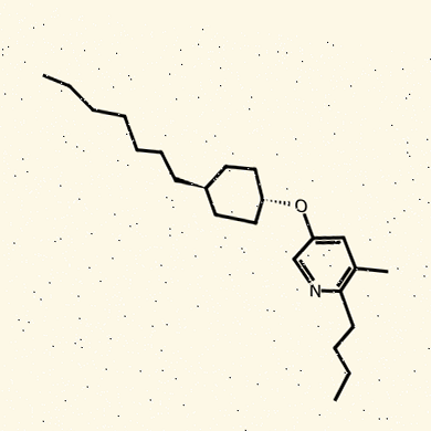 CCCCCCC[C@H]1CC[C@H](Oc2cnc(CCCC)c(C)c2)CC1